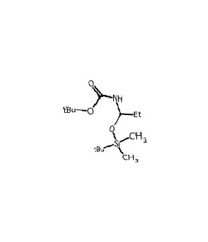 CCC(NC(=O)OC(C)(C)C)O[Si](C)(C)C(C)(C)C